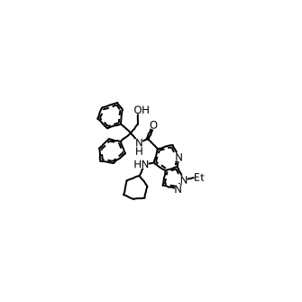 CCn1ncc2c(NC3CCCCC3)c(C(=O)NC(CO)(c3ccccc3)c3ccccc3)cnc21